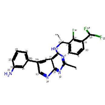 Cc1nc(N[C@H](C)c2cccc(C(F)F)c2F)c2cc(-c3cccc(N)c3)cnc2n1